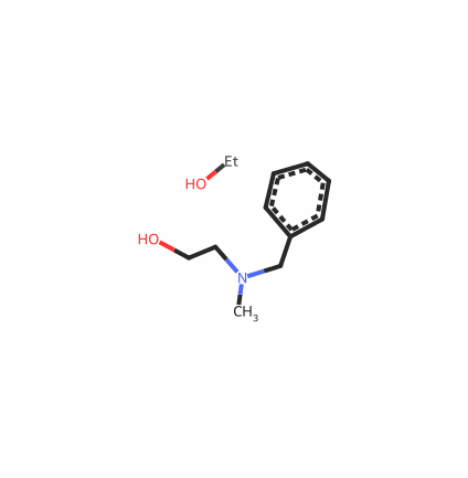 CCO.CN(CCO)Cc1ccccc1